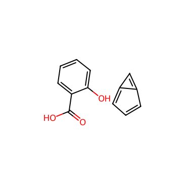 O=C(O)c1ccccc1O.c1cc2cc-2c1